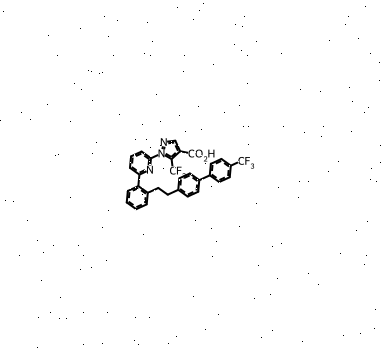 O=C(O)c1cnn(-c2cccc(-c3ccccc3CCc3ccc(-c4ccc(C(F)(F)F)cc4)cc3)n2)c1C(F)(F)F